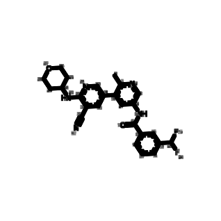 Cc1ncc(NC(=O)c2cccc(C(F)F)c2)cc1-c1cnc(NC2CCOCC2)c(C#N)c1